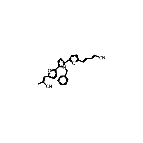 C/C(C#N)=C/c1ccc(-c2ccc(-c3ccc(/C=C/C=C/C#N)o3)n2Cc2ccccc2)o1